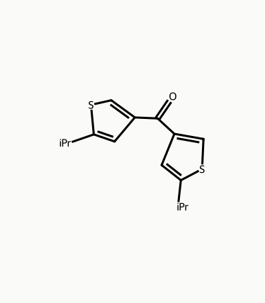 CC(C)c1cc(C(=O)c2csc(C(C)C)c2)cs1